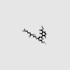 CNCCCC(=O)NCCSc1cc(-c2c(C)ccc(C(=O)OC)c2C)nc(N)n1